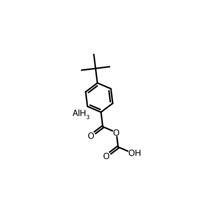 CC(C)(C)c1ccc(C(=O)OC(=O)O)cc1.[AlH3]